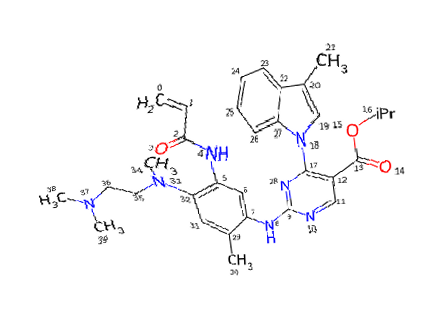 C=CC(=O)Nc1cc(Nc2ncc(C(=O)OC(C)C)c(-n3cc(C)c4ccccc43)n2)c(C)cc1N(C)CCN(C)C